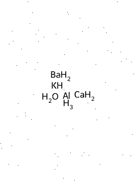 O.[AlH3].[BaH2].[CaH2].[KH]